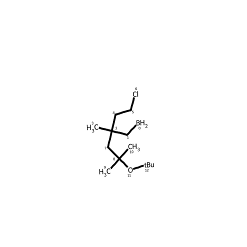 BCC(C)(CCCl)CC(C)(C)OC(C)(C)C